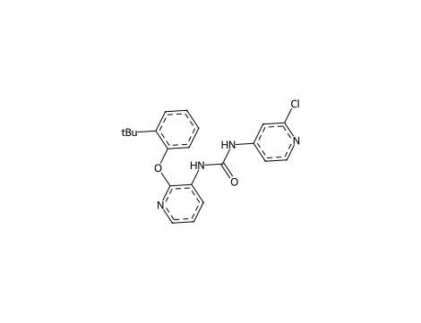 CC(C)(C)c1ccccc1Oc1ncccc1NC(=O)Nc1ccnc(Cl)c1